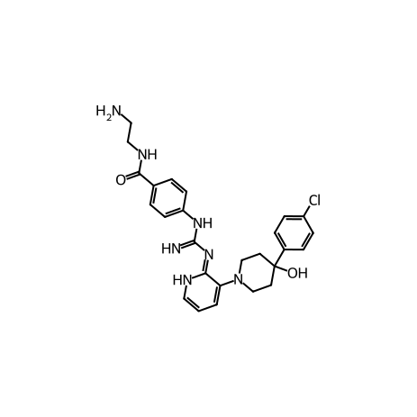 N=C(/N=c1\[nH]cccc1N1CCC(O)(c2ccc(Cl)cc2)CC1)Nc1ccc(C(=O)NCCN)cc1